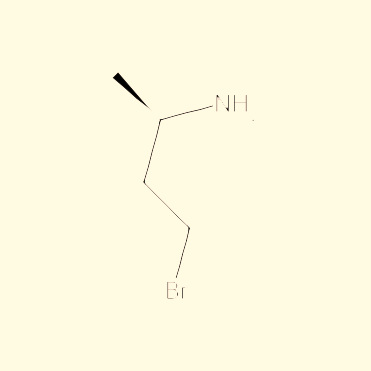 C[C@@H](N)CCBr